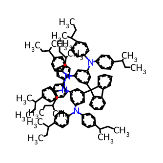 CCC(C)c1ccc(N(c2ccc(C(C)CC)cc2)c2cc(N(c3ccc(C(C)CC)cc3)c3ccc(C(C)CC)cc3)cc(C3(c4cc(N(c5ccc(C(C)CC)cc5)c5ccc(C(C)CC)cc5)cc(N(c5ccc(C(C)CC)cc5)c5ccc(C(C)CC)cc5)c4)c4ccccc4-c4ccccc43)c2)cc1